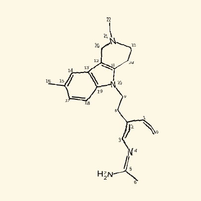 C=C/C(=C\N=C(\C)N)CCn1c2c(c3cc(C)ccc31)CN(C)CC2